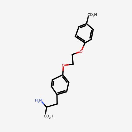 NC(Cc1ccc(OCCOc2ccc(C(=O)O)cc2)cc1)C(=O)O